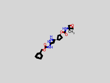 CC1(NC(=O)O[C@@H]2CC[C@H](c3cc(NC(=O)OCc4ccccc4)n[nH]3)C2)COC1